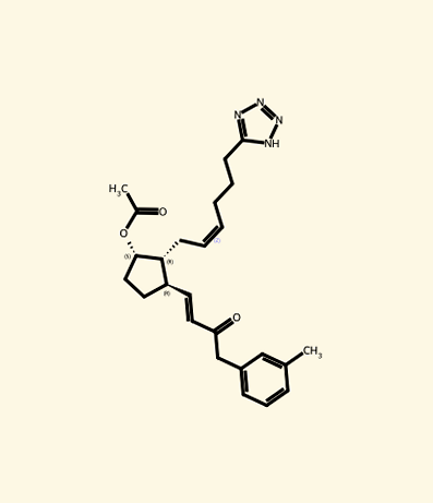 CC(=O)O[C@H]1CC[C@H](C=CC(=O)Cc2cccc(C)c2)[C@H]1C/C=C\CCCc1nnn[nH]1